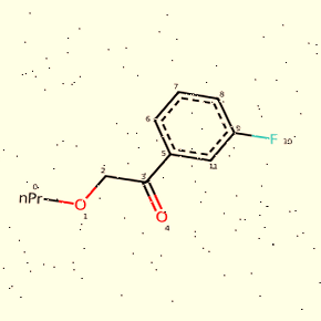 CCCOCC(=O)c1cccc(F)c1